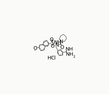 COc1ccc2cc(S(=O)(=O)NN(Cc3cccc(C(=N)N)c3)C(=O)N3CCCCCC3)ccc2c1.Cl